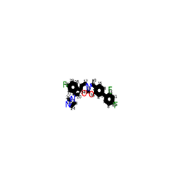 C[C@@H](c1ccc(-c2ccc(F)cc2F)cc1)N1CC[C@@](CCn2ccnc2)(c2ccc(F)cc2)OC1=O